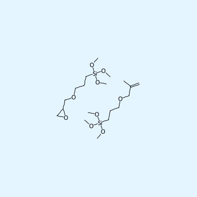 C=C(C)COCCC[Si](OC)(OC)OC.CO[Si](CCCOCC1CO1)(OC)OC